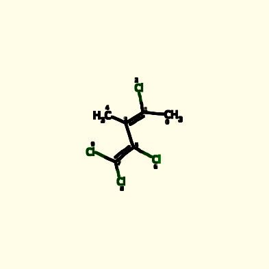 C/C(Cl)=C(/C)C(Cl)=C(Cl)Cl